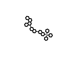 c1ccc([Si](c2ccccc2)(c2ccccc2)c2ccc3cc(-c4ccc5ccc(-c6cc7ccc8ccccc8c7c7ccccc67)cc5c4)ccc3c2)cc1